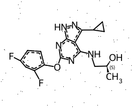 C[C@H](O)CNc1nc(Oc2ccc(F)cc2F)nc2[nH]nc(C3CC3)c12